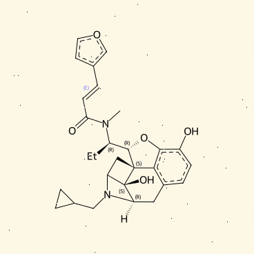 CC[C@H]([C@@H]1Oc2c(O)ccc3c2[C@@]12CC1N(CC4CC4)[C@H](C3)[C@]12O)N(C)C(=O)/C=C/c1ccoc1